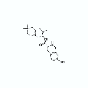 CC(C)[C@@H](CN1CCC(C)(C)CC1)NC(=O)[C@H]1Cc2ccc(O)cc2CN1